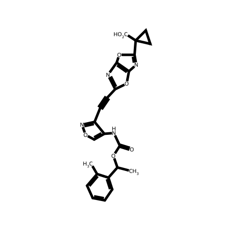 Cc1ccccc1C(C)OC(=O)Nc1conc1C#Cc1nc2oc(C3(C(=O)O)CC3)nc2o1